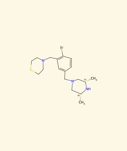 C[C@@H]1CN(Cc2ccc(Br)c(CN3CCSCC3)c2)C[C@H](C)N1